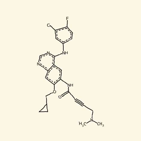 CN(C)CC#CC(=O)Nc1cc2c(Nc3ccc(F)c(Cl)c3)ncnc2cc1OCC1CC1